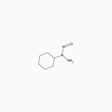 NN(N=O)C1CCCCC1